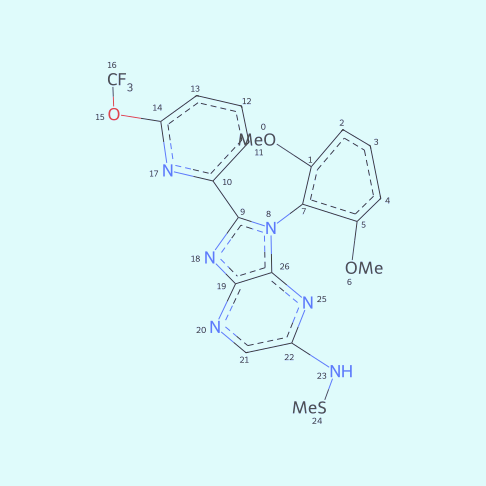 COc1cccc(OC)c1-n1c(-c2cccc(OC(F)(F)F)n2)nc2ncc(NSC)nc21